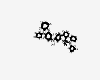 c1ccc(N(C2=C(c3ccccc3-c3ccc(Nc4ccc(N(c5ccccc5)c5ccccc5)cc4)cc3)N=N2)c2ccccc2)cc1